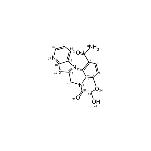 NC(=O)c1ccc2c(c1)N(Cc1nc3cccnc3s1)C(=O)C(O)O2